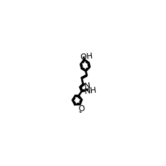 COc1cccc(-c2cc(C=Cc3ccc(O)cc3)n[nH]2)c1